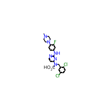 CN1CCN(c2ccc(Nc3nccc(N(Cc4cc(Cl)ccc4Cl)C(=O)O)n3)cc2F)CC1